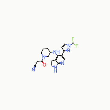 N#CCC(=O)N1CCCC(Nc2c(-c3ccn(C(F)F)n3)cnc3[nH]ccc23)C1